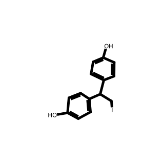 Oc1ccc(C(CI)c2ccc(O)cc2)cc1